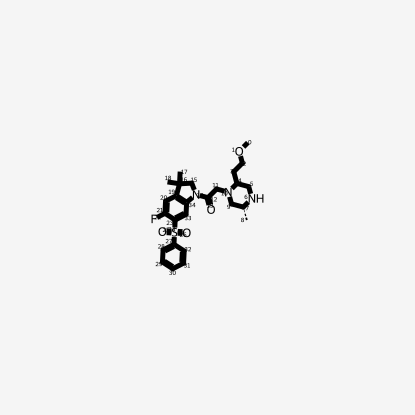 COCCC1CN[C@H](C)CN1CC(=O)N1CC(C)(C)c2cc(F)c(S(=O)(=O)c3ccccc3)cc21